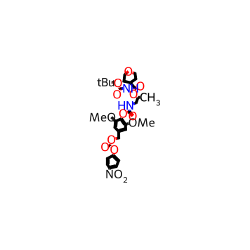 COc1cc(COC(=O)Oc2ccc([N+](=O)[O-])cc2)cc(OC)c1OC(=O)NCC(C)OC(=O)C1(NC(=O)OC(C)(C)C)CCOCC1